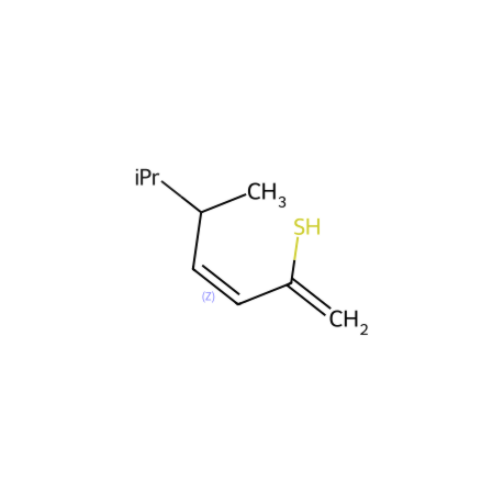 C=C(S)/C=C\C(C)C(C)C